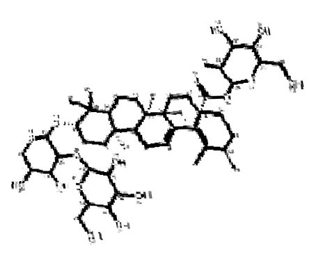 CC1=C2C3=CCC4[C@@]5(C)CC[C@H](OC6OCC(O)C(O)C6OC6OC(CO)C(O)C(O)C6O)C(C)(C)C5CC[C@@]4(C)[C@]3(C)CC[C@@]2(C(=O)OC2OC(CO)C(O)C(O)C2C)CC[C@H]1C